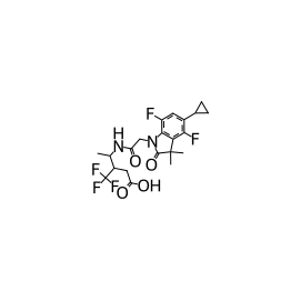 CC(NC(=O)CN1C(=O)C(C)(C)c2c(F)c(C3CC3)cc(F)c21)C(CC(=O)O)C(F)(F)F